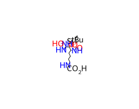 C=CCOC(=O)NC(CCCCNC(=O)O)C(O[Si](C)(C)C(C)(C)C)C(=N)NO